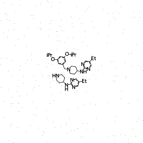 CCc1cnc(NC2CCN(Cc3cc(OC(C)C)cc(OC(C)C)c3)CC2)nc1.CCc1cnc(NC2CCNCC2)nc1